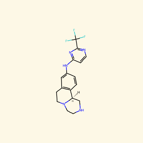 FC(F)(F)c1nccc(Nc2ccc3c(c2)CCN2CCNC[C@H]32)n1